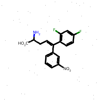 NC(C/C=C(\c1cccc([N+](=O)[O-])c1)c1ccc(F)cc1F)C(=O)O